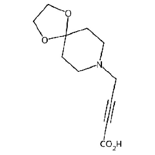 O=C(O)C#CCN1CCC2(CC1)OCCO2